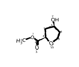 COC(=O)[C@H]1C[C@@H](O)CCO1